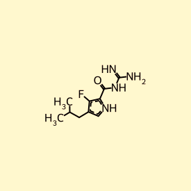 CC(C)Cc1c[nH]c(C(=O)NC(=N)N)c1F